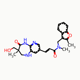 Cc1oc2ccccc2c1CN(C)C(=O)/C=C/c1cnc2c(c1)NC[C@](C)(CO)C(=O)N2